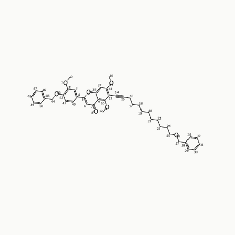 COc1cc(-c2cc(=O)c3c(OC)c(C#CCCCCCCCCCCOCc4ccccc4)c(OC)cc3o2)ccc1OCc1ccccc1